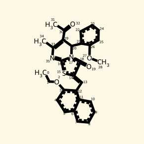 CCOc1ccc2ccccc2c1/C=c1\sc2n(c1=O)C(c1ccccc1OC)C(C(C)=O)=C(C)N=2